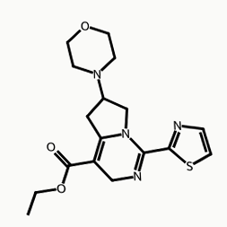 CCOC(=O)C1=C2CC(N3CCOCC3)CN2C(c2nccs2)=NC1